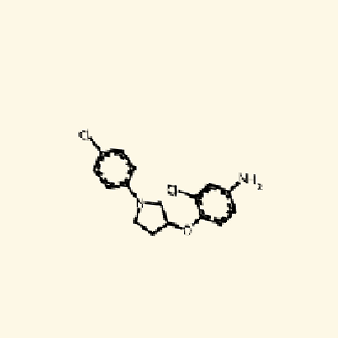 Nc1ccc(OC2CCN(c3ccc(Cl)cc3)C2)c(Cl)c1